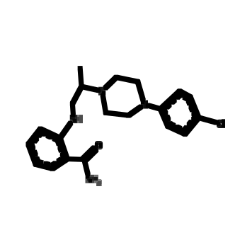 CC(CNc1ccccc1C(N)=O)N1CCN(c2ccc(Cl)cc2)CC1